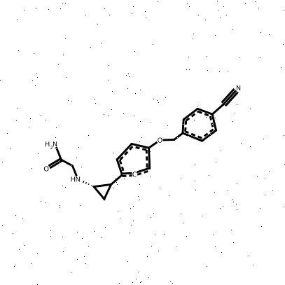 N#Cc1ccc(COc2ccc(C3C[C@@H]3NCC(N)=O)cc2)cc1